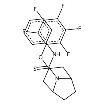 Fc1c(F)c(F)c(OC2CC3CCC(C2)N3C(=S)Nc2ccccc2)c(F)c1F